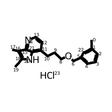 Cc1cccc(COCCCc2ccnc3c(C)c(C)[nH]c23)c1.Cl